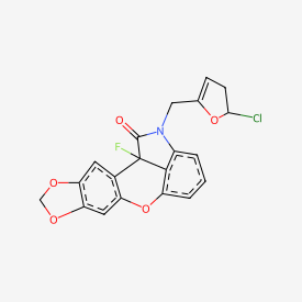 O=C1N(CC2=CCC(Cl)O2)c2cccc3c2C1(F)c1cc2c(cc1O3)OCO2